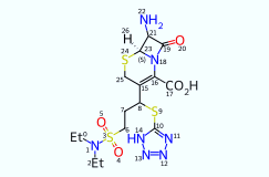 CCN(CC)S(=O)(=O)CCC(Sc1nnn[nH]1)C1=C(C(=O)O)N2C(=O)C(N)[C@@H]2SC1